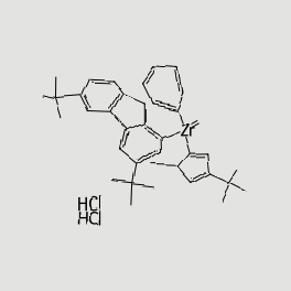 Cl.Cl.[CH2]=[Zr]([C]1=CC(C(C)(C)C)=CC1C)([c]1ccccc1)[c]1cc(C(C)(C)C)cc2c1Cc1ccc(C(C)(C)C)cc1-2